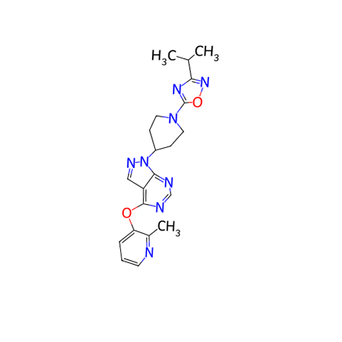 Cc1ncccc1Oc1ncnc2c1cnn2C1CCN(c2nc(C(C)C)no2)CC1